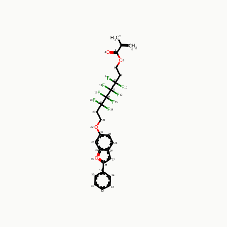 C=C(C)C(=O)OCCC(F)(F)C(F)(F)C(F)(F)C(F)(F)CCOc1ccc2cc(-c3ccccc3)oc2c1